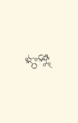 CCOC(=O)c1nnc2ccc(OCc3c(-c4ccccc4)noc3C)nn12